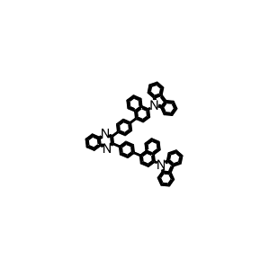 c1ccc2nc(-c3ccc(-c4ccc(-n5c6ccccc6c6ccccc65)c5ccccc45)cc3)c(-c3ccc(-c4ccc(-n5c6ccccc6c6ccccc65)c5ccccc45)cc3)nc2c1